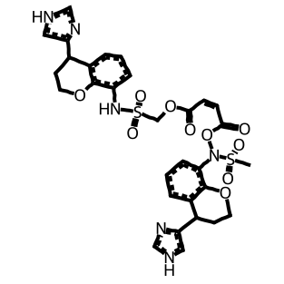 CS(=O)(=O)N(OC(=O)/C=C\C(=O)OCS(=O)(=O)Nc1cccc2c1OCCC2c1c[nH]cn1)c1cccc2c1OCCC2c1c[nH]cn1